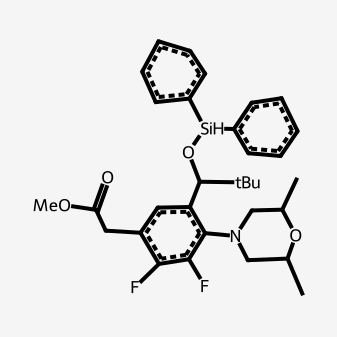 COC(=O)Cc1cc(C(O[SiH](c2ccccc2)c2ccccc2)C(C)(C)C)c(N2CC(C)OC(C)C2)c(F)c1F